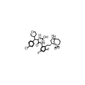 O=C(O)NC(C(=O)Nc1cc(F)cc(F)c1CC[C@H]1CN[C@@H]2CCCS(=O)(=O)N1C2)C(c1ccc(Cl)cc1)C1CCOCC1